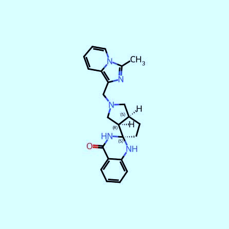 Cc1nc(CN2C[C@H]3CC[C@]4(NC(=O)c5ccccc5N4)[C@H]3C2)c2ccccn12